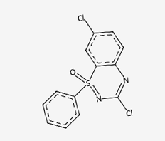 O=S1(c2ccccc2)=NC(Cl)=Nc2ccc(Cl)cc21